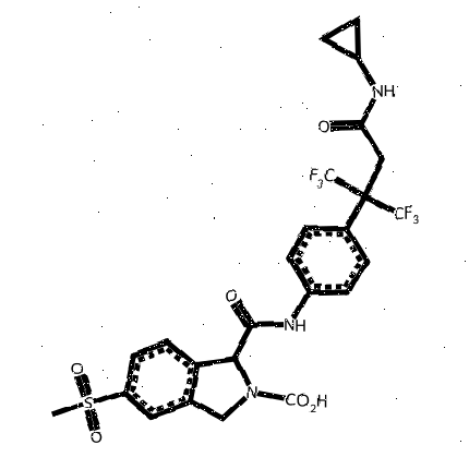 CS(=O)(=O)c1ccc2c(c1)CN(C(=O)O)C2C(=O)Nc1ccc(C(CC(=O)NC2CC2)(C(F)(F)F)C(F)(F)F)cc1